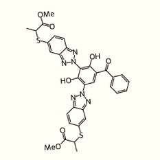 COC(=O)C(C)Sc1ccc2nn(-c3cc(C(=O)c4ccccc4)c(O)c(-n4nc5ccc(SC(C)C(=O)OC)cc5n4)c3O)nc2c1